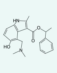 Cc1[nH]c2ccc(O)c(CN(C)C)c2c1C(=O)OC(C)c1ccccc1